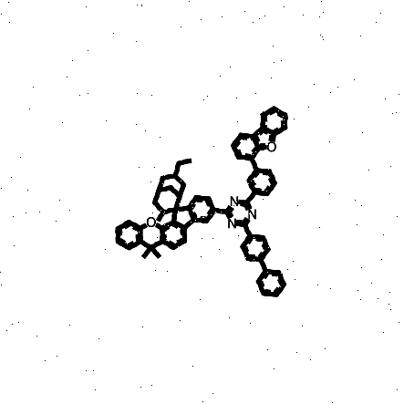 CCC1CC2CC(C)C3(c4ccc(-c5nc(-c6ccc(-c7ccccc7)cc6)nc(-c6cccc(-c7cccc8c7oc7ccccc78)c6)n5)cc4-c4ccc5c(c43)Oc3ccccc3C5(C)C)C(C1)C2